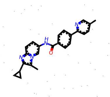 Cc1ccc(-c2ccc(C(=O)Nc3ccc4nc(C5CC5)c(C)n4c3)cc2)nc1